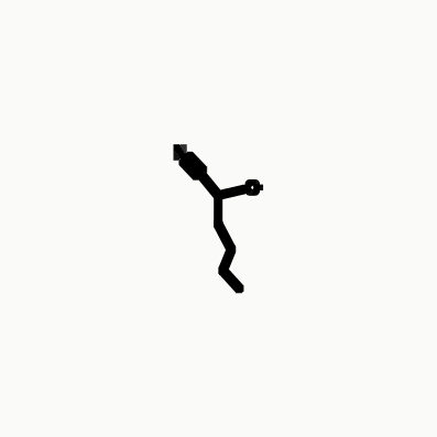 CCCCC([O])C#N